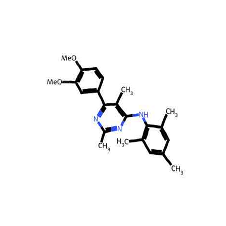 COc1ccc(-c2nc(C)nc(Nc3c(C)cc(C)cc3C)c2C)cc1OC